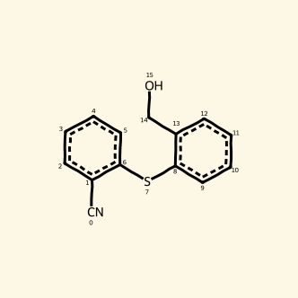 N#Cc1ccccc1Sc1ccccc1CO